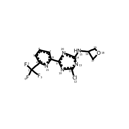 FC(F)(F)c1cccc(-c2nc(Cl)nc(NC3COC3)n2)n1